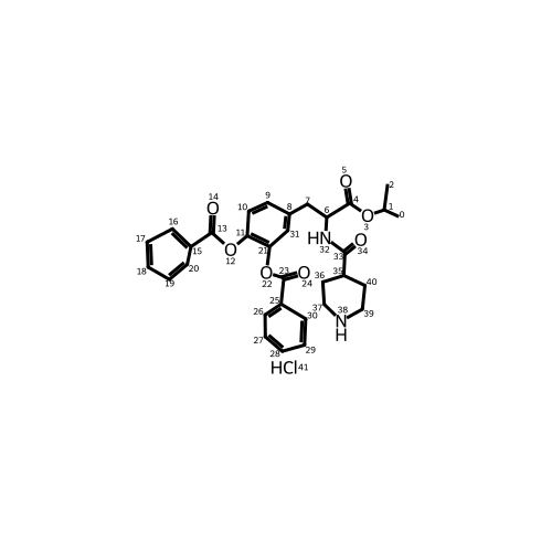 CC(C)OC(=O)C(Cc1ccc(OC(=O)c2ccccc2)c(OC(=O)c2ccccc2)c1)NC(=O)C1CCNCC1.Cl